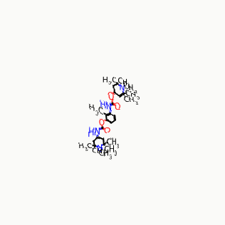 Cc1c(NC(=O)OC2CC(C)(C)N(C)C(C)(C)C2)cccc1OC(=O)NC1CC(C)(C)N(C)C(C)(C)C1